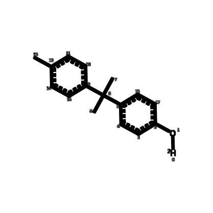 [2H]Oc1ccc(C(C)(C)c2ccc(C)cc2)cc1